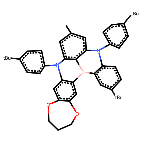 Cc1cc2c3c(c1)N(c1ccc(C(C)(C)C)cc1)c1cc4c(cc1B3c1cc(C(C)(C)C)ccc1N2c1ccc(C(C)(C)C)cc1)OCCCO4